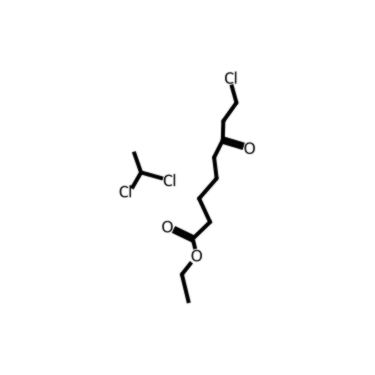 CC(Cl)Cl.CCOC(=O)CCCCC(=O)CCCl